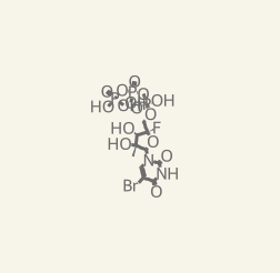 C[C@]1(O)C(n2cc(Br)c(=O)[nH]c2=O)O[C@](F)(COP(=O)(O)OP(=O)(O)OP(=O)(O)O)[C@H]1O